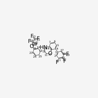 Fc1cc(-c2cccc3c2OC[C@H](C2C=C(OC(F)(F)C(F)F)C=CC2)N3)cc(F)c1F